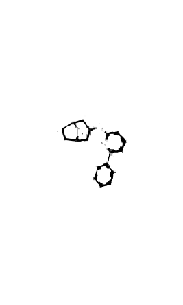 c1ccc(-c2cccc(OC3CC4CCC(C3)N4)n2)cc1